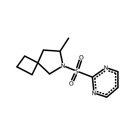 CC1CC2(CCC2)CN1S(=O)(=O)c1ncccn1